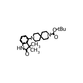 CC(C)(C)OC(=O)N1CCC2(CC1)CCN(c1cccc3c1C(C)(C)C(=O)N3)CC2